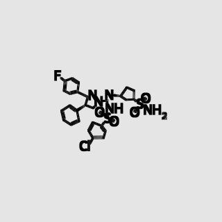 NS(=O)(=O)[C@@H]1CC[C@H](/N=C(\NS(=O)(=O)c2ccc(Cl)cc2)N2C[C@@H](c3ccccc3)C(c3ccc(F)cc3)=N2)C1